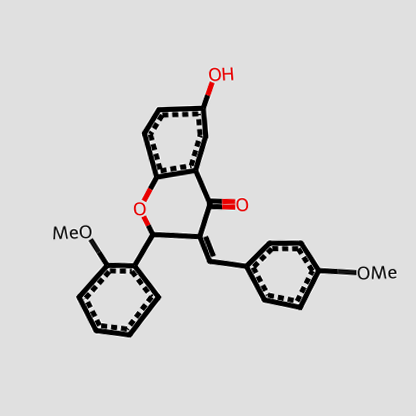 COc1ccc(C=C2C(=O)c3cc(O)ccc3OC2c2ccccc2OC)cc1